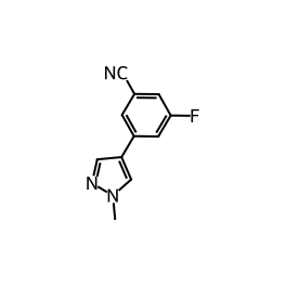 Cn1cc(-c2cc(F)cc(C#N)c2)cn1